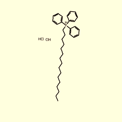 CCCCCCCCCCCCCCCC[PH](c1ccccc1)(c1ccccc1)c1ccccc1.Cl.Cl